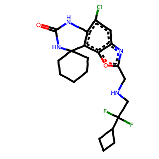 O=C1Nc2c(Cl)cc3nc(CNCC(F)(F)C4CCC4)oc3c2C2(CCCCC2)N1